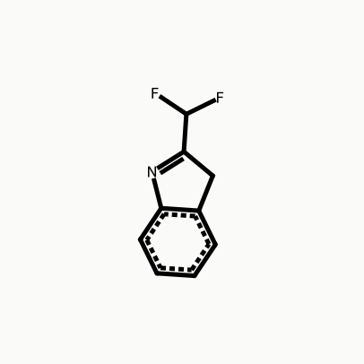 FC(F)C1=Nc2ccccc2C1